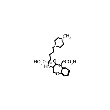 CN1CCN(CCCC[C@H](NC2COc3ccccc3N(CC(=O)O)C2=O)C(=O)O)CC1